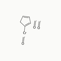 [C]=O.[C]=O.[C]=O.[Cr][C]1=CC=CC1